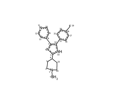 BN1CCC(c2nc(-c3ccncc3)c(-c3ccc(F)cc3)[nH]2)CC1